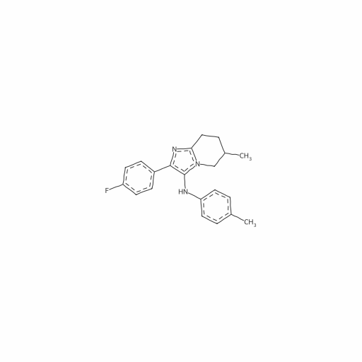 Cc1ccc(Nc2c(-c3ccc(F)cc3)nc3n2CC(C)CC3)cc1